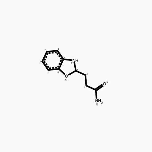 NC(=O)CCC1Nc2ccccc2O1